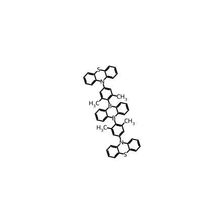 Cc1cc(N2c3ccccc3Sc3ccccc32)cc(C)c1B1c2ccccc2B(c2c(C)cc(N3c4ccccc4Sc4ccccc43)cc2C)c2ccccc21